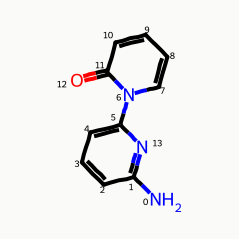 Nc1cccc(-n2ccccc2=O)n1